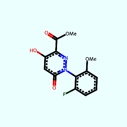 COC(=O)c1nn(-c2c(F)cccc2OC)c(=O)cc1O